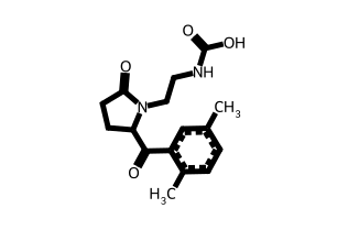 Cc1ccc(C)c(C(=O)C2CCC(=O)N2CCNC(=O)O)c1